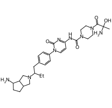 CCC(Cc1ccc(-n2ccc(NC(=O)N3CCN(C(=O)C(C)(N)O)CC3)nc2=O)cc1)N1CC2CCC(N)C2C1